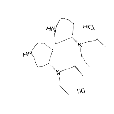 CCN(CC)[C@H]1CCNC1.CCN(CC)[C@H]1CCNC1.Cl.Cl